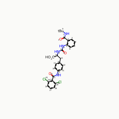 CC(C)(C)NC(=O)c1ccccc1NC(=O)NC(Cc1ccc(NC(=O)c2c(Cl)cccc2Cl)cc1)C(=O)O